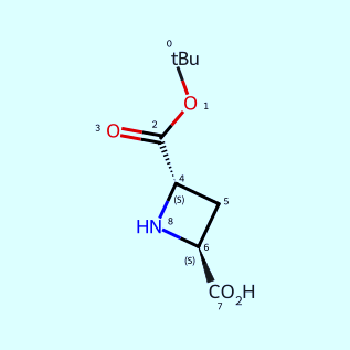 CC(C)(C)OC(=O)[C@@H]1C[C@@H](C(=O)O)N1